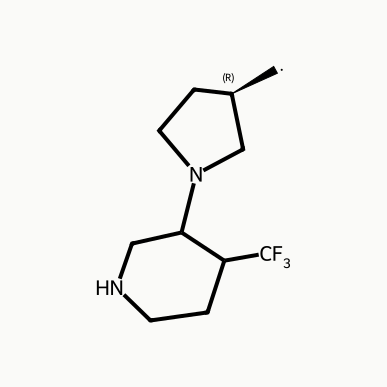 [CH2][C@@H]1CCN(C2CNCCC2C(F)(F)F)C1